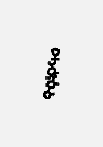 CC(C)(CC(=O)N1CCC(O)(Cn2cnc(-c3ccccc3F)cc2=O)C(C)(C)C1)c1ccccc1